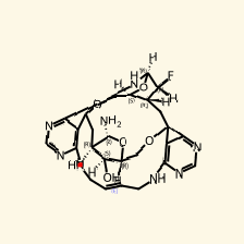 N[C@@H]1O[C@@H]2COC34C[C@H]5[C@@H](F)[C@@H]6Nc7ncnc(c7C(C[C@@H]1[C@@H]2O)OC[C@H]5O6)NC/C=C/CNc1ncnc3c14